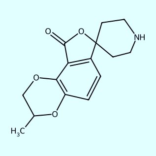 CC1COc2c(ccc3c2C(=O)OC32CCNCC2)O1